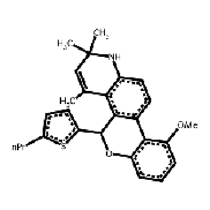 CCCc1ccc(C2Oc3cccc(OC)c3-c3ccc4c(c32)C(C)=CC(C)(C)N4)s1